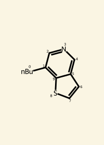 CCCCc1cncc2ccsc12